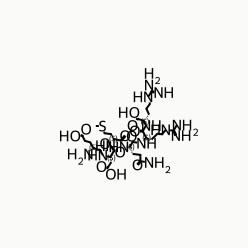 CSCC[C@H](NC(=O)[C@H](CC(=O)O)NC(=O)[C@@H](N)CCC(=O)O)C(=O)N[C@@H](CCC(N)=O)C(=O)N[C@@H](CCCNC(=N)N)C(=O)N[C@@H](CCCNC(=N)N)C(=O)O